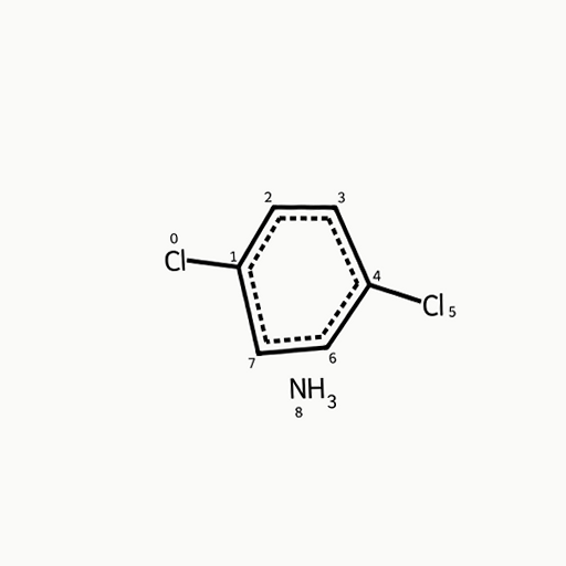 Clc1ccc(Cl)cc1.N